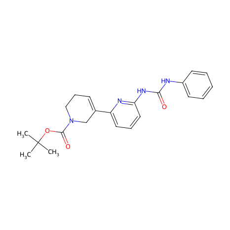 CC(C)(C)OC(=O)N1CCC=C(c2cccc(NC(=O)Nc3ccccc3)n2)C1